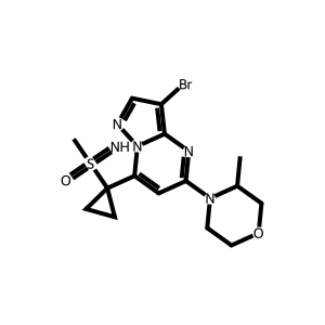 CC1COCCN1c1cc(C2(S(C)(=N)=O)CC2)n2ncc(Br)c2n1